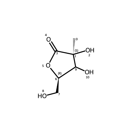 C[C@@]1(O)C(=O)O[C@H](CO)C1O